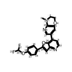 CN1CCOc2cc(-c3ccnc4cc(-c5ccc(OC(F)F)cc5)oc34)cnc21